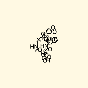 CC(=O)NCCC(C)(C)CN(C[C@@H](O)[C@H](Cc1ccccc1)NC(=O)O[C@H]1CO[C@H]2OCC[C@H]21)S(=O)(=O)c1ccc2c(c1)OCO2